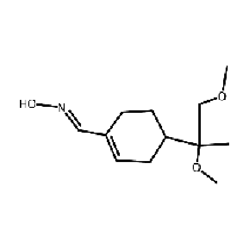 COCC(C)(OC)C1CC=C(/C=N/O)CC1